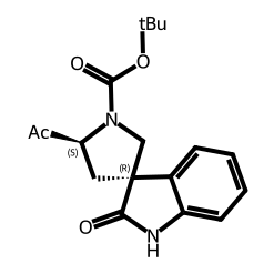 CC(=O)[C@@H]1C[C@@]2(CN1C(=O)OC(C)(C)C)C(=O)Nc1ccccc12